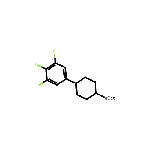 CCCCCCCCC1CCC(c2cc(F)c(F)c(F)c2)CC1